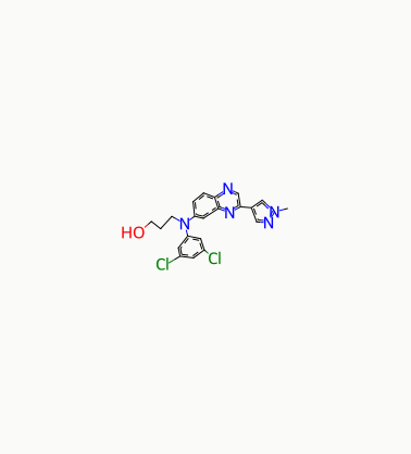 Cn1cc(-c2cnc3ccc(N(CCCO)c4cc(Cl)cc(Cl)c4)cc3n2)cn1